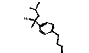 CCCCc1ccc(C(C)(O)CC(C)C)cc1